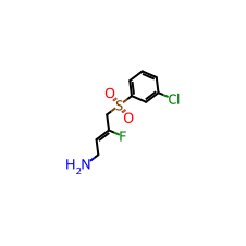 NC/C=C(\F)CS(=O)(=O)c1cccc(Cl)c1